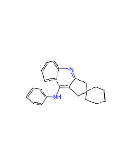 c1ccc(Nc2c3c(nc4ccccc24)CC2(CCCCC2)C3)cc1